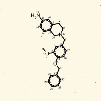 COc1cc(CN2CCc3cc(N)ccc3C2)ccc1OCc1ccccc1